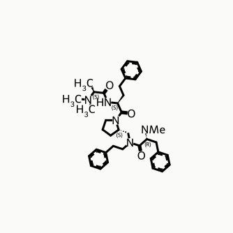 CN[C@H](Cc1ccccc1)C(=O)N(CCc1ccccc1)C[C@@H]1CCCN1C(=O)[C@H](CCc1ccccc1)NC(=O)[C@H](C)N(C)C